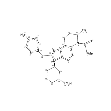 COC(=O)N1c2ccc3c(nc(Cc4cnc(C)cn4)n3[C@@H]3CCC[C@@H](C(=O)O)C3)c2CCC1C